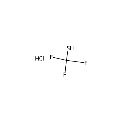 Cl.FC(F)(F)S